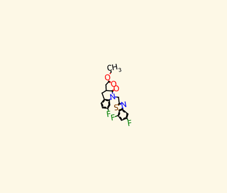 CCOC(=O)CC1Cc2ccc(F)cc2N(Cc2nc3cc(F)cc(F)c3s2)C1=O